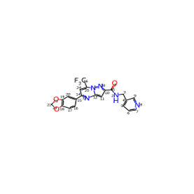 O=C(NCc1cccnc1)c1cc2nc(-c3ccc4c(c3)OCO4)cc(C(F)(F)F)n2n1